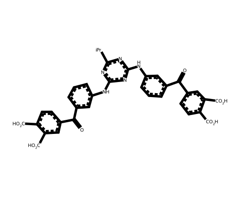 CC(C)c1nc(Nc2cccc(C(=O)c3ccc(C(=O)O)c(C(=O)O)c3)c2)nc(Nc2cccc(C(=O)c3ccc(C(=O)O)c(C(=O)O)c3)c2)n1